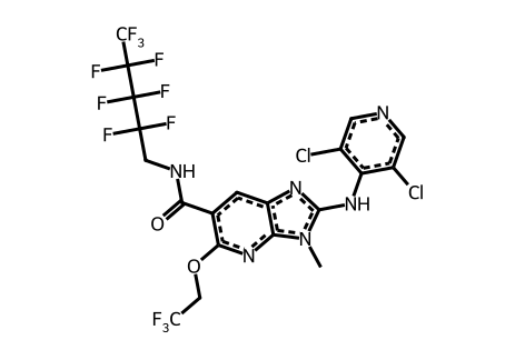 Cn1c(Nc2c(Cl)cncc2Cl)nc2cc(C(=O)NCC(F)(F)C(F)(F)C(F)(F)C(F)(F)F)c(OCC(F)(F)F)nc21